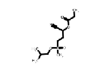 CCC(=O)OC(C#N)CCP(C)(=O)OCC(C)C